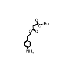 CC(C)(C)OC(=O)CC(=O)OCCc1ccc(N)cc1